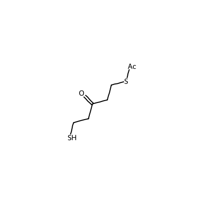 CC(=O)SCCC(=O)CCS